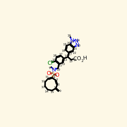 C=C1/C=C\C(S(=O)(=O)N(C)Cc2cc(C(CC(=O)O)c3ccc4c(c3)nnn4C)ccc2Cl)=C/CCCC1